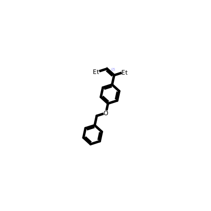 CC/[C]=C(/CC)c1ccc(OCc2ccccc2)cc1